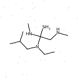 CCN(CC(C)C)C([SiH3])(CNC)NC